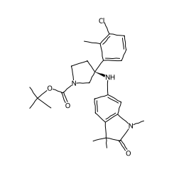 Cc1c(Cl)cccc1[C@@]1(Nc2ccc3c(c2)N(C)C(=O)C3(C)C)CCN(C(=O)OC(C)(C)C)C1